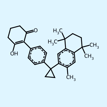 Cc1cc2c(cc1C1(c3ccc(C4=C(O)CCCC4=O)cc3)CC1)C(C)(C)CCC2(C)C